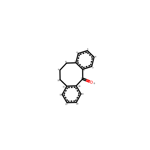 O=C1c2ccccc2CCCc2ccccc21